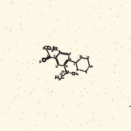 CCOC(=O)C(=O)c1ccc(C2CCCCC2)c([S+](C)[O-])c1